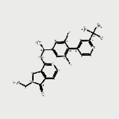 CCN1Cc2c(ccnc2N[C@@H](C)c2cc(F)c(-c3ccnc(C(C)(C)C)c3)c(F)c2)C1=O